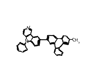 Cc1ccc2c3ccc(-c4ccc5c(c4)c4cnccc4n5-c4ccccc4)cc3c3ccccc3c2c1